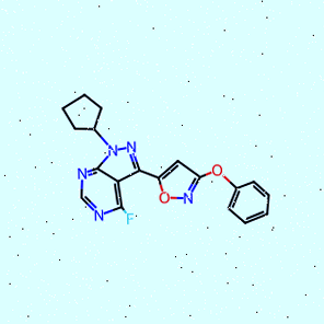 Fc1ncnc2c1c(-c1cc(Oc3ccccc3)no1)nn2C1CCCC1